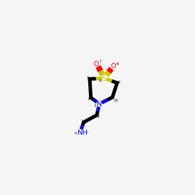 [NH]CCN1CCS(=O)(=O)CC1